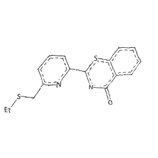 CCSCc1cccc(-c2nc(=O)c3ccccc3s2)n1